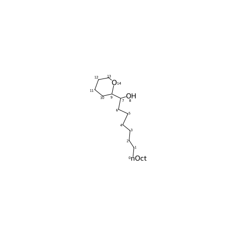 CCCCCCCCCCCCCCC(O)C1CCCCO1